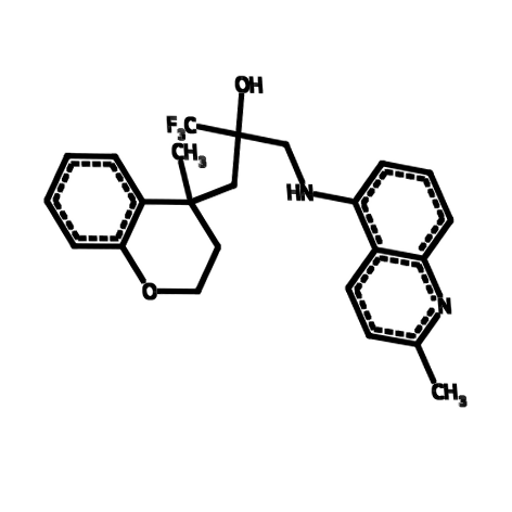 Cc1ccc2c(NCC(O)(CC3(C)CCOc4ccccc43)C(F)(F)F)cccc2n1